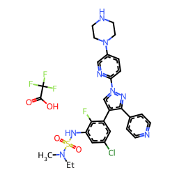 CCN(C)S(=O)(=O)Nc1cc(Cl)cc(-c2cn(-c3ccc(N4CCNCC4)cn3)nc2-c2ccncc2)c1F.O=C(O)C(F)(F)F